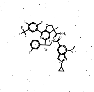 COc1cc(C(=O)NC[C@@](O)(c2cccc(F)c2)c2cc3c(c(-c4cc(C(F)(F)F)c(F)cc4F)n2)OC[C@]3(C)C(N)=O)cc2cn(C3CC3)nc12